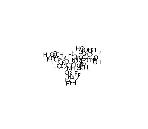 Cc1cc(CC(=O)O)c(C(C)(C)CC(=O)N(c2nn(CC(F)(F)F)c3c(-c4ccc(C#CC(C)(C)S(C)(=O)=O)nc4[C@H](Cc4cc(F)cc(F)c4)NC(=O)Cn4nc(C(F)(F)F)c5c4C(F)(F)C4C[C@H]54)ccc(Cl)c23)S(C)(=O)=O)c(OP(=O)(O)O)c1